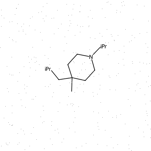 CC(C)CC1(C)CCN(C(C)C)CC1